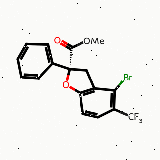 COC(=O)[C@]1(c2ccccc2)Cc2c(ccc(C(F)(F)F)c2Br)O1